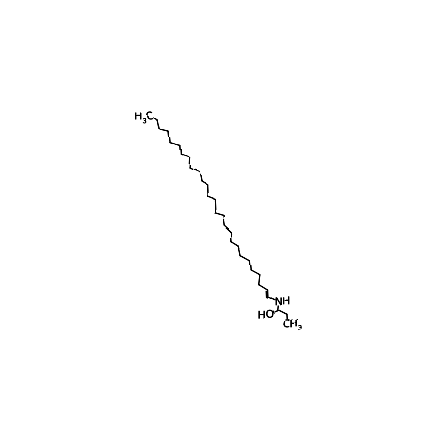 CCCCCCCCCCCCCCCCCCCCCCCCCC=CNC(O)CC